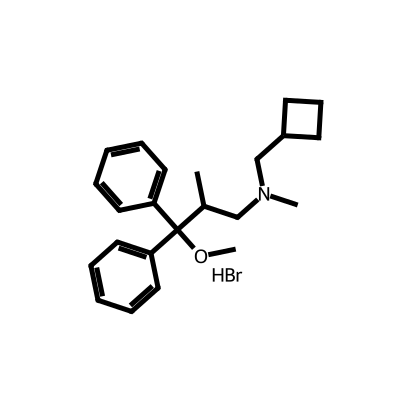 Br.COC(c1ccccc1)(c1ccccc1)C(C)CN(C)CC1CCC1